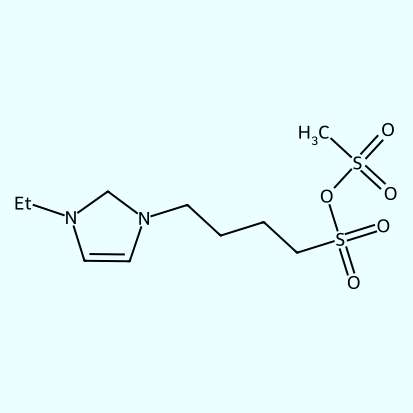 CCN1C=CN(CCCCS(=O)(=O)OS(C)(=O)=O)C1